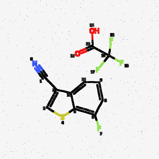 N#Cc1csc2c(F)cccc12.O=C(O)C(F)(F)F